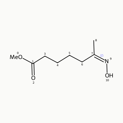 COC(=O)CCCC/C(C)=N\O